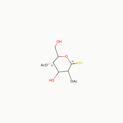 CC(=O)OC1C(O)[C@H](OC(C)=O)C(CO)O[C@H]1S